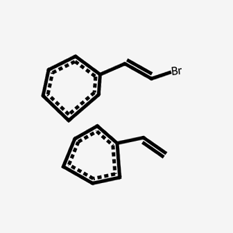 BrC=Cc1ccccc1.C=Cc1ccccc1